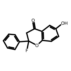 O=C1CC(F)(c2ccccc2)Oc2ccc(O)cc21